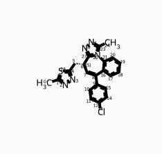 Cc1nnc(C[C@H]2C=C(c3ccc(Cl)cc3)c3ccccc3-n3c(C)nnc32)s1